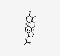 CC(=O)O[C@H]1CC[C@H]2[C@@H]3CCC4=C(C)C(=O)CC[C@]4(C)[C@H]3CC[C@]12C